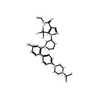 CCOC(=O)c1cnn(C2CCCN(c3cc(Cl)ccc3-c3ccc(N4CCN(C(C)C)CC4)cc3)C2)c1C(F)(F)F